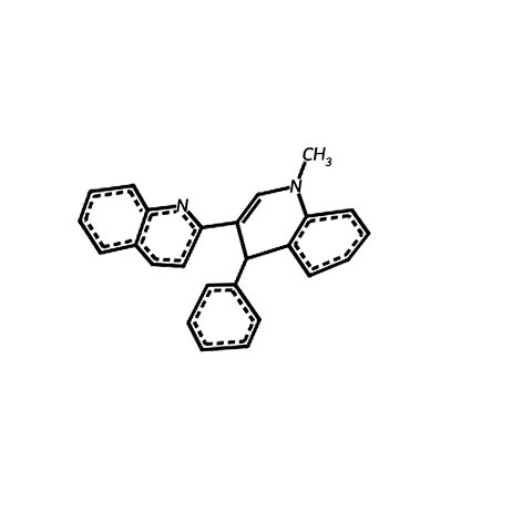 CN1C=C(c2ccc3ccccc3n2)C(c2ccccc2)c2ccccc21